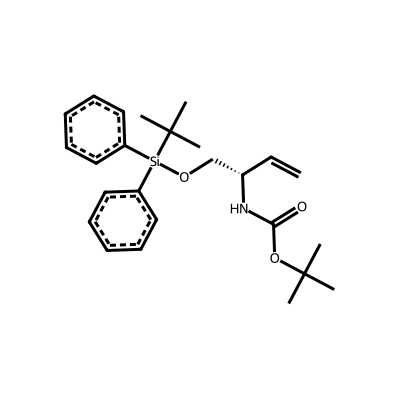 C=C[C@@H](CO[Si](c1ccccc1)(c1ccccc1)C(C)(C)C)NC(=O)OC(C)(C)C